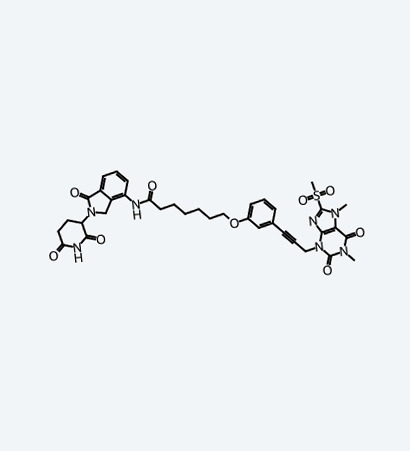 Cn1c(=O)c2c(nc(S(C)(=O)=O)n2C)n(CC#Cc2cccc(OCCCCCCC(=O)Nc3cccc4c3CN(C3CCC(=O)NC3=O)C4=O)c2)c1=O